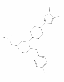 Cn1nc(C2CCC(N3CC(C[S+](C)[O-])OCC3Cc3ccc(Cl)cc3)CC2)cc1F